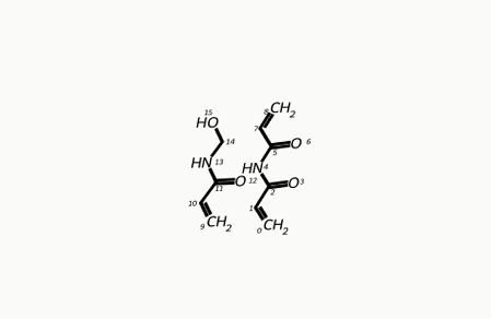 C=CC(=O)NC(=O)C=C.C=CC(=O)NCO